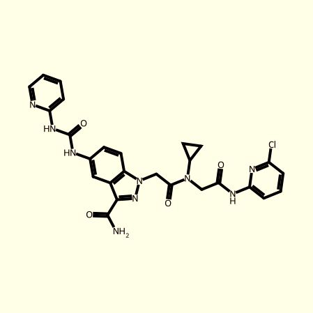 NC(=O)c1nn(CC(=O)N(CC(=O)Nc2cccc(Cl)n2)C2CC2)c2ccc(NC(=O)Nc3ccccn3)cc12